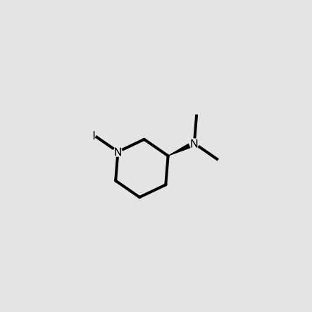 CN(C)[C@H]1CCCN(I)C1